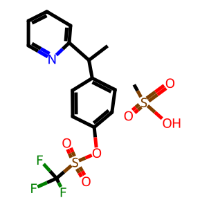 CC(c1ccc(OS(=O)(=O)C(F)(F)F)cc1)c1ccccn1.CS(=O)(=O)O